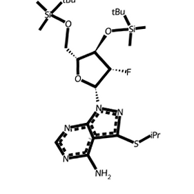 CC(C)Sc1nn([C@@H]2O[C@H](CO[Si](C)(C)C(C)(C)C)[C@@H](O[Si](C)(C)C(C)(C)C)[C@@H]2F)c2ncnc(N)c12